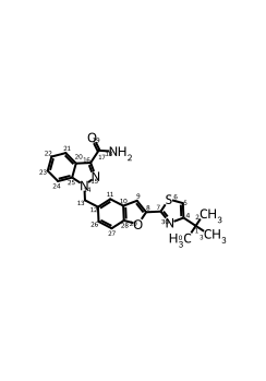 CC(C)(C)c1csc(-c2cc3cc(Cn4nc(C(N)=O)c5ccccc54)ccc3o2)n1